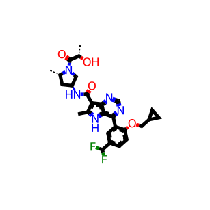 Cc1[nH]c2c(-c3cc(C(F)F)ccc3OCC3CC3)ncnc2c1C(=O)N[C@H]1C[C@H](C)N(C(=O)[C@H](C)O)C1